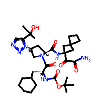 CC(C)(C)OC(=O)N[C@H](CC1CCCCC1)C(=O)N1C[C@@H](n2nncc2C(C)(C)O)C[C@H]1C(=O)NC1(C(=O)C(N)=O)CC2(CCC2)C1